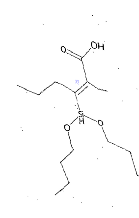 CCCCO[SiH](OCCCC)/C(CCC)=C(\C)C(=O)O